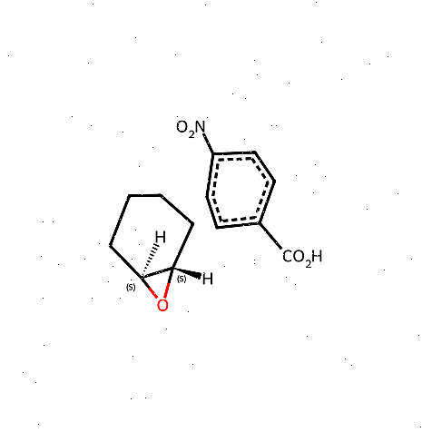 C1CC[C@@H]2O[C@H]2C1.O=C(O)c1ccc([N+](=O)[O-])cc1